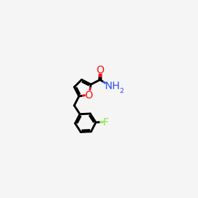 NC(=O)c1ccc(Cc2cccc(F)c2)o1